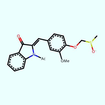 COc1cc(C=C2C(=O)c3ccccc3N2C(C)=O)ccc1OC[S+](C)[O-]